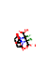 O=C1CCC(=O)N1C(Br)(C(=O)O)C(Br)(C(=O)O)N1C(=O)CCC1=O